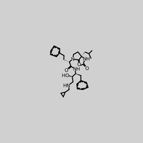 CC(=O)N[C@]1(CC(C)C)CCN([C@@H](CCc2ccccc2)C(=O)N[C@@H](Cc2ccccc2)[C@H](O)CNCC2CC2)C1=O